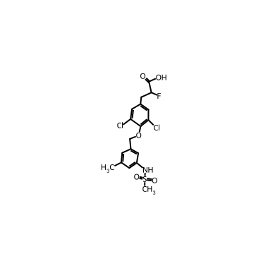 Cc1cc(COc2c(Cl)cc(CC(F)C(=O)O)cc2Cl)cc(NS(C)(=O)=O)c1